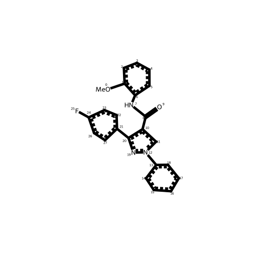 COc1ccccc1NC(=O)c1cn(-c2ccccc2)nc1-c1ccc(F)cc1